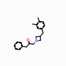 Cc1ccc(CC2CN(CC(=O)Cc3ccccc3)C2)cc1C